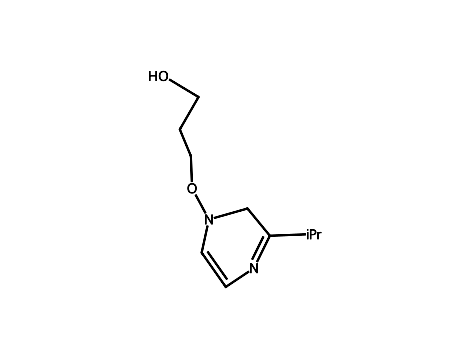 CC(C)C1=NC=CN(OCCCO)C1